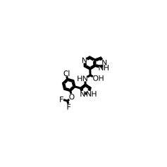 OC(Nc1c[nH]nc1-c1cc(Cl)ccc1OC(F)F)c1cncc2cn[nH]c12